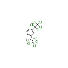 ClC(Cl)(Cl)C(Cl)(Cl)c1[c]c(C(Cl)(Cl)C(Cl)(Cl)Cl)ccc1